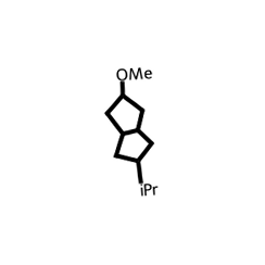 COC1CC2CC(C(C)C)CC2C1